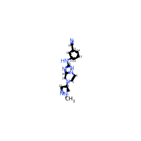 Cn1cc(N2C=Cn3nc(Nc4cccc(C#N)c4)nc3C2)cn1